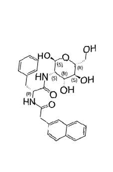 O=C(Cc1ccc2ccccc2c1)N[C@H](Cc1ccccc1)C(=O)N[C@H]1[C@@H](O)[C@H](O)[C@@H](CO)O[C@@H]1O